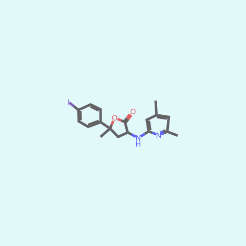 Cc1cc(C)nc(NC2CC(C)(c3ccc(I)cc3)OC2=O)c1